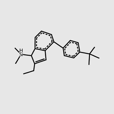 CCC1=Cc2c(-c3ccc(C(C)(C)C)cc3)cccc2C1[SiH](C)C